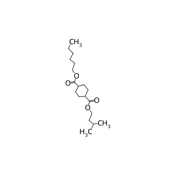 CCCCCCOC(=O)C1CCC(C(=O)OCCC(C)C)CC1